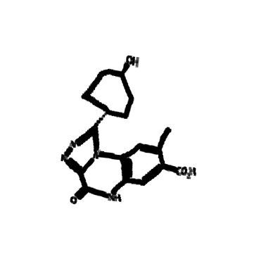 Cc1cc2c(cc1C(=O)O)[nH]c(=O)c1nnc([C@H]3CC[C@H](O)CC3)n12